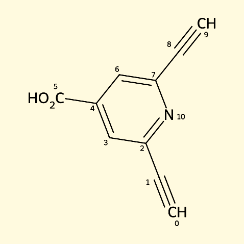 C#Cc1cc(C(=O)O)cc(C#C)n1